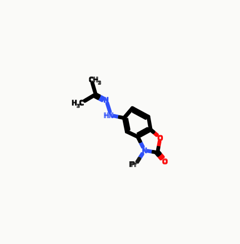 CC(C)=NNc1ccc2oc(=O)n(C(C)C)c2c1